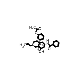 C=CCN1CC[C@@]2(c3cccc(OC(C)=O)c3)C[C@H](NC(=O)c3ccccc3)CC(O)[C@@H]2C1